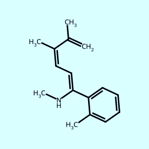 C=C(C)/C(C)=C\C=C(/NC)c1ccccc1C